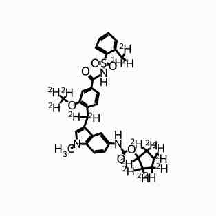 [2H]C([2H])([2H])Oc1cc(C(=O)NS(=O)(=O)c2ccccc2C([2H])([2H])[2H])ccc1C([2H])([2H])c1cn(C)c2ccc(NC(=O)OC3([2H])C([2H])([2H])C([2H])([2H])C([2H])([2H])C3([2H])[2H])cc12